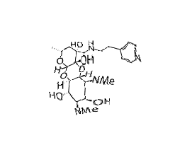 CN[C@@H]1[C@H](O)[C@H](NC)[C@H]2O[C@]3(O)[C@H](O[C@@H]2[C@H]1O)O[C@H](C)C[C@@]3(O)CNCCc1ccncc1